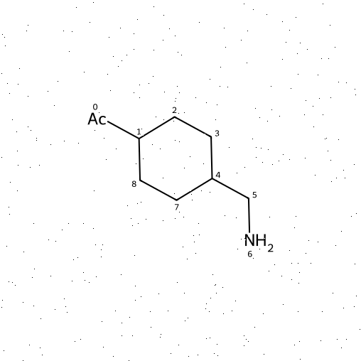 CC(=O)C1CCC(CN)CC1